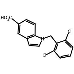 O=C(O)c1ccc2c(ccn2Cc2c(Cl)cccc2Cl)c1